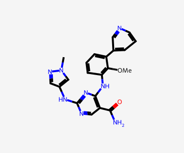 COc1c(Nc2nc(Nc3cnn(C)c3)ncc2C(N)=O)cccc1-c1cccnc1